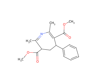 COC(=O)C1=C(C)N=C(C)C(C(=O)OC)CC1c1ccccc1